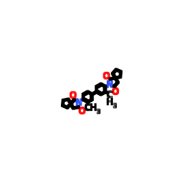 Cc1cc(-c2ccc(N3C(=O)CC4(CCCC4)C3=O)c(C)c2)ccc1N1C(=O)CC2(CCCC2)C1=O